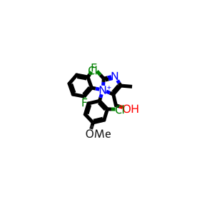 COc1ccc([N+]2(c3c(F)cccc3F)C(Cl)=NC(C)=C2CO)c(Cl)c1